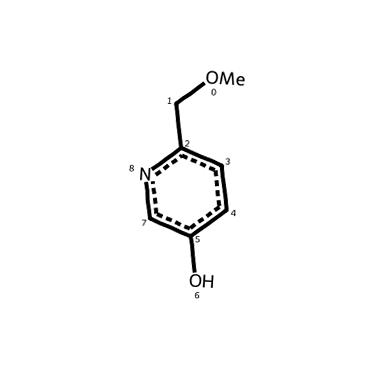 COCc1ccc(O)cn1